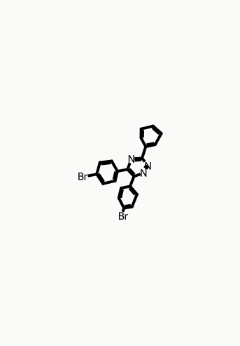 Brc1ccc(-c2nnc(-c3ccccc3)nc2-c2ccc(Br)cc2)cc1